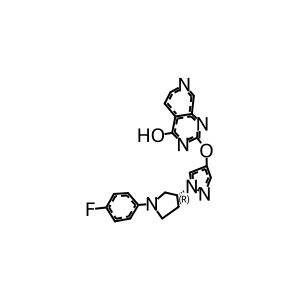 Oc1nc(Oc2cnn([C@@H]3CCN(c4ccc(F)cc4)C3)c2)nc2cnccc12